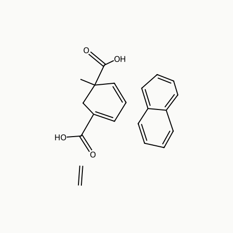 C=C.CC1(C(=O)O)C=CC=C(C(=O)O)C1.c1ccc2ccccc2c1